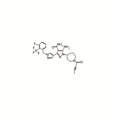 CC#CC(=O)N1CCC[C@H](n2nc(-c3cnn(Cc4cccc(F)c4C(F)(F)F)c3)c(C(N)=O)c2N)CC1